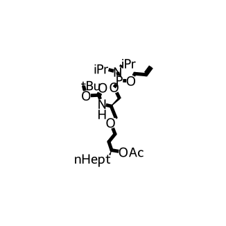 C=CCOP(OC[C@@H](COCC[C@@H](CCCCCCC)OC(C)=O)NC(=O)OC(C)(C)C)N(C(C)C)C(C)C